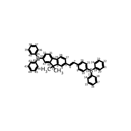 CC1(C)c2cc(/C=C/c3ccc(B(c4ccccc4)c4ccccc4)cc3)ccc2-c2ccc(B(c3ccccc3)c3ccccc3)cc21